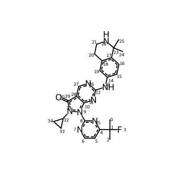 CC(C)(F)c1ccnc(-n2c3nc(Nc4ccc5c(c4)CCNC5(C)C)ncc3c(=O)n2C2CC2)n1